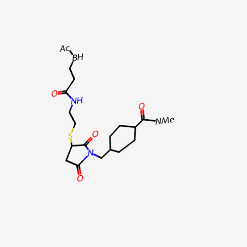 CNC(=O)C1CCC(CN2C(=O)CC(SCCNC(=O)CCBC(C)=O)C2=O)CC1